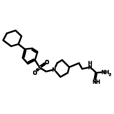 N=C(N)NCCC1CCN(CS(=O)(=O)c2ccc(C3CCCCC3)cc2)CC1